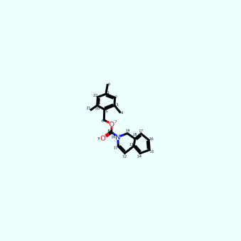 Cc1cc(C)c(COC(=O)N2C=Cc3ccccc3C2)c(C)c1